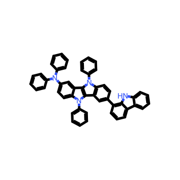 c1ccc(N(c2ccccc2)c2ccc3c(c2)c2c(c4cc(-c5cccc6c5[nH]c5ccccc56)ccc4n2-c2ccccc2)n3-c2ccccc2)cc1